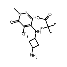 Cn1ncc(NC2CC(N)C2)c(C(F)(F)F)c1=O.O=C(O)C(F)(F)F